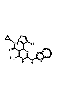 CC1=C(C(=O)NC2CC2)C(C2=NCC=C2Cl)N=C(Nc2nc3ccccc3o2)N1